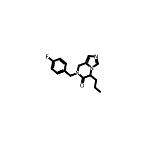 CCCC1C(=O)N(Cc2ccc(F)cc2)Cc2cncn21